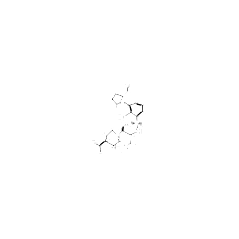 CCc1c(N2CCC[C@H]2CO)cccc1S(=O)(=O)N[C@@H](CN)C(=O)N1CCC(=C(F)F)CC1